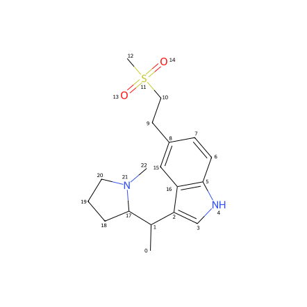 CC(c1c[nH]c2ccc(CCS(C)(=O)=O)cc12)C1CCCN1C